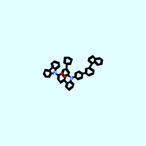 c1ccc(-c2cccc(N(c3ccc(-c4cccc(-c5cccc6ccccc56)c4)cc3)c3ccccc3-c3ccc(-n4c5ccccc5c5ccccc54)cc3)c2)cc1